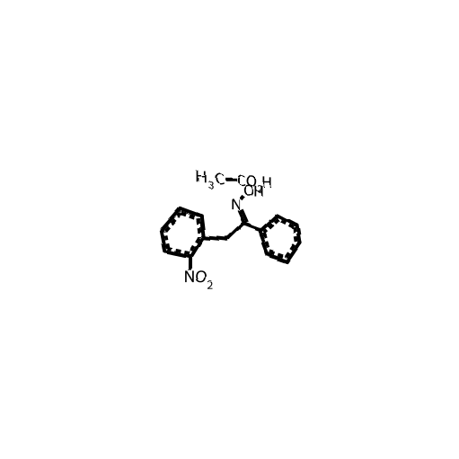 CC(=O)O.O=[N+]([O-])c1ccccc1CC(=NO)c1ccccc1